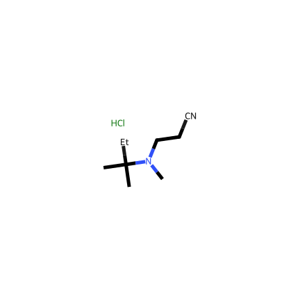 CCC(C)(C)N(C)CCC#N.Cl